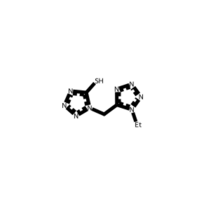 CCn1nnnc1Cn1nnnc1S